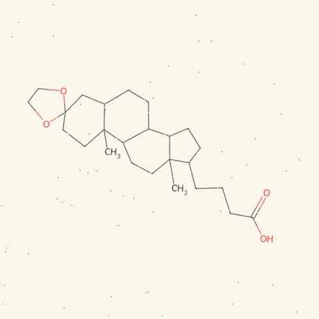 CC12CCC3C(CCC4CC5(CCC43C)OCCO5)C1CCC2CCCC(=O)O